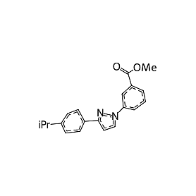 COC(=O)c1cccc(-n2ccc(-c3ccc(C(C)C)cc3)n2)c1